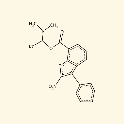 CCC(OC(=O)c1cccc2c(-c3ccccc3)c([N+](=O)[O-])oc12)N(C)C